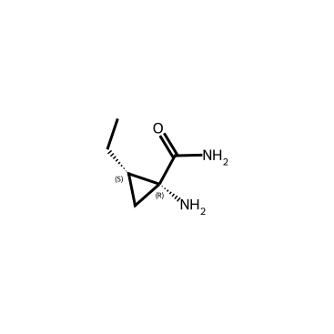 CC[C@H]1C[C@]1(N)C(N)=O